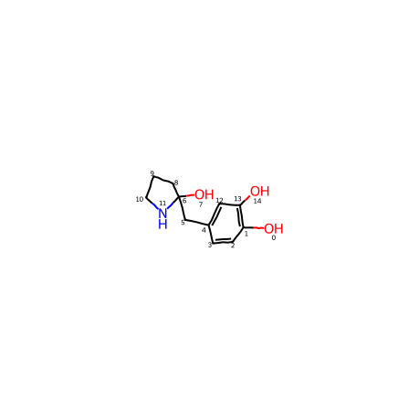 Oc1ccc(CC2(O)CCCN2)cc1O